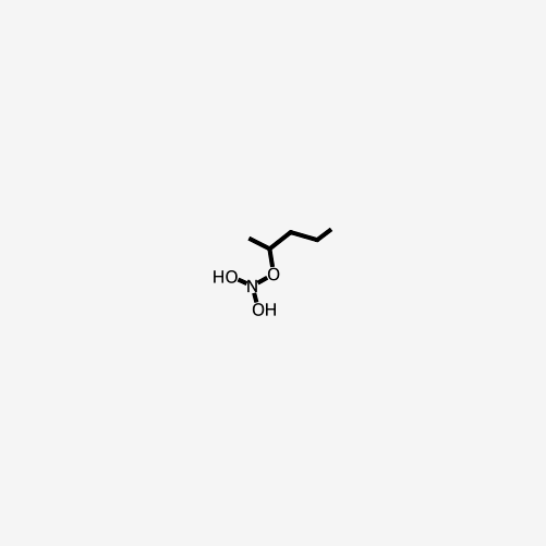 CCCC(C)ON(O)O